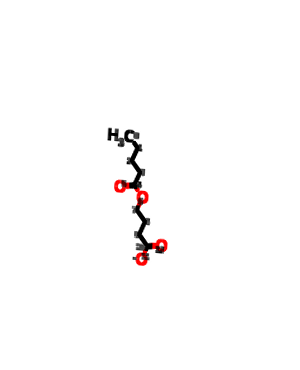 CCCCC(=O)OCCCC([O])=O